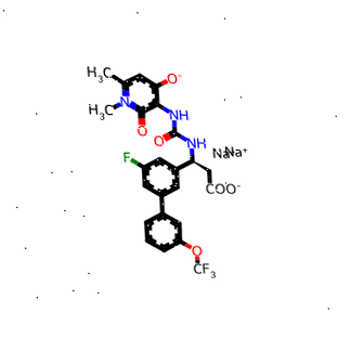 Cc1cc([O-])c(NC(=O)N[C@@H](CC(=O)[O-])c2cc(F)cc(-c3cccc(OC(F)(F)F)c3)c2)c(=O)n1C.[Na+].[Na+]